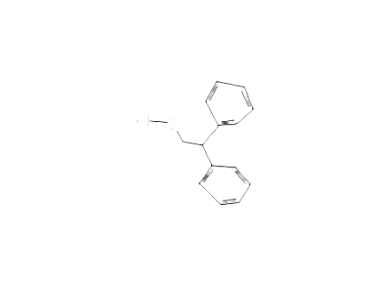 ClSCC(c1ccccc1)c1ccccc1